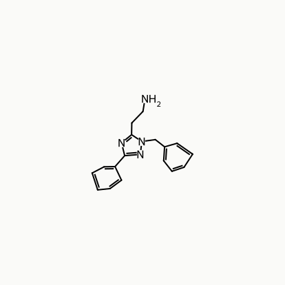 NCCc1nc(-c2ccccc2)nn1Cc1ccccc1